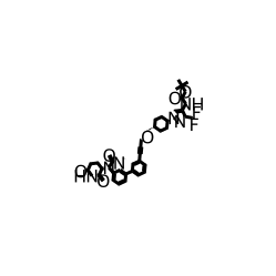 Cn1c(=O)n(C2CCC(=O)NC2=O)c2cccc(-c3cccc(C#CCOC[C@H]4CC[C@H](n5cc(NC(=O)OC(C)(C)C)c(C(F)F)n5)CC4)c3)c21